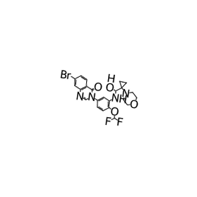 O=c1c2ccc(Br)cc2ncn1-c1ccc(OC(F)F)c(NC(O)C2(N3CCOCC3)CC2)c1